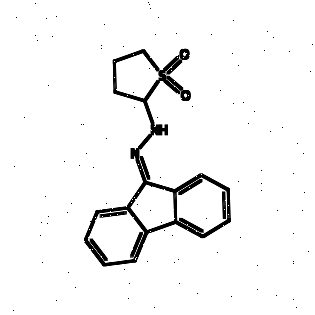 O=S1(=O)CCCC1NN=C1c2ccccc2-c2ccccc21